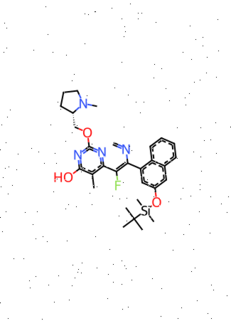 C=N/C(=C(/F)c1nc(OC[C@@H]2CCCN2C)nc(O)c1C)c1cc(O[Si](C)(C)C(C)(C)C)cc2ccccc12